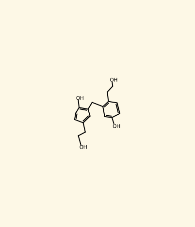 OCCc1ccc(O)c(Cc2cc(O)ccc2CCO)c1